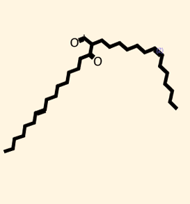 CCCCCCC=CCCCCCCCC(=O)C([C]=O)CCCCCC/C=C\CCCCCC